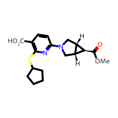 COC(=O)[C@H]1[C@@H]2CN(c3ccc(C(=O)O)c(SC4CCCC4)n3)C[C@@H]21